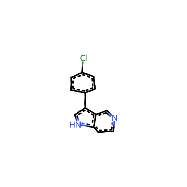 Clc1ccc(-c2c[nH]c3ccncc23)cc1